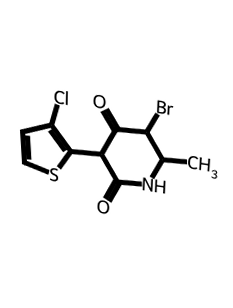 CC1NC(=O)C(c2sccc2Cl)C(=O)C1Br